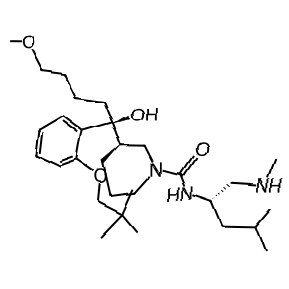 CNC[C@H](CC(C)C)NC(=O)N1CCC[C@@H]([C@@](O)(CCCCOC)c2ccccc2OCC(C)(C)C)C1